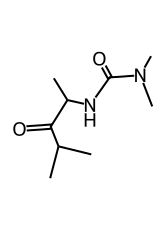 CC(C)C(=O)C(C)NC(=O)N(C)C